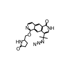 CC(C)(N=[N+]=[N-])c1c[nH]c(=O)c2cc3ccnc(OCC4CCC(=O)N4)c3cc12